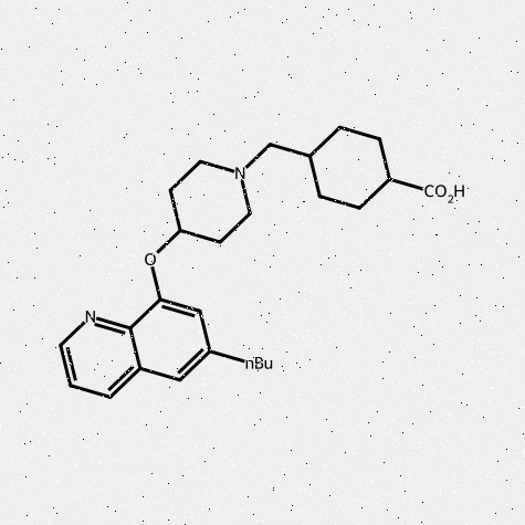 CCCCc1cc(OC2CCN(CC3CCC(C(=O)O)CC3)CC2)c2ncccc2c1